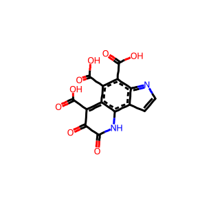 O=C(O)C1=c2c(c3c(c(C(=O)O)c2C(=O)O)=NC=C3)NC(=O)C1=O